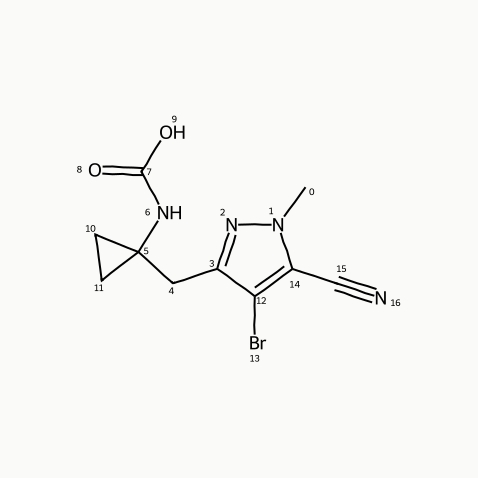 Cn1nc(CC2(NC(=O)O)CC2)c(Br)c1C#N